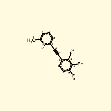 Cc1cccc(C#Cc2ccc(F)c(F)c2F)n1